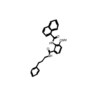 COc1cccc(C(=O)NCCCc2ccccc2)c1NC(=O)c1cccc2ccccc12